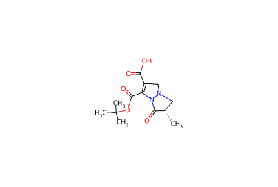 C[C@H]1CN2CC(C(=O)O)=C(C(=O)OC(C)(C)C)N2C1=O